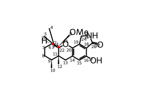 CO[C@@H]1CC(C)(C)[C@@H]2CC[C@H](C)[C@@]3(C)Cc4cc(O)c5c(c4O[C@@]23C1)CNC5=O